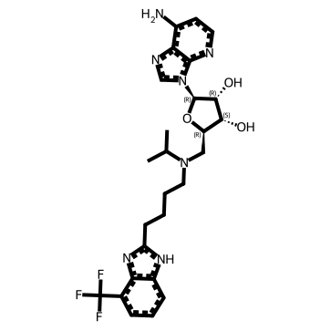 CC(C)N(CCCCc1nc2c(C(F)(F)F)cccc2[nH]1)C[C@H]1O[C@@H](n2cnc3c(N)ccnc32)[C@H](O)[C@@H]1O